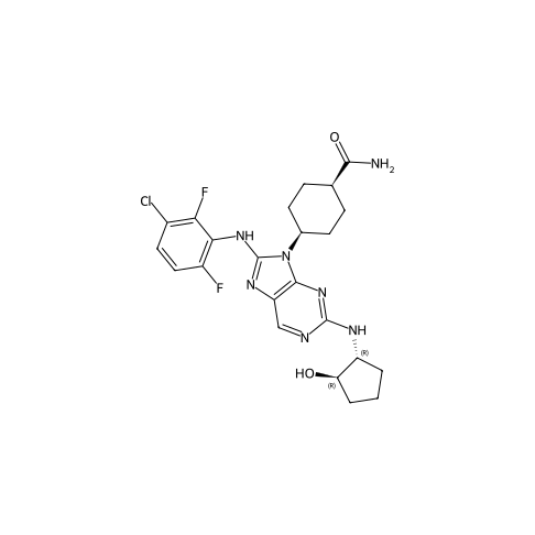 NC(=O)[C@H]1CC[C@@H](n2c(Nc3c(F)ccc(Cl)c3F)nc3cnc(N[C@@H]4CCC[C@H]4O)nc32)CC1